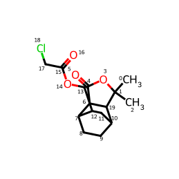 CC1(C)OC(=O)C2C3CCC(CC3COC(=O)CCl)C21